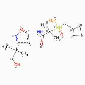 CC(C)(CO)c1cc(NC(=O)C(C)(C)[SH](=O)(P)CC2CCC2)on1